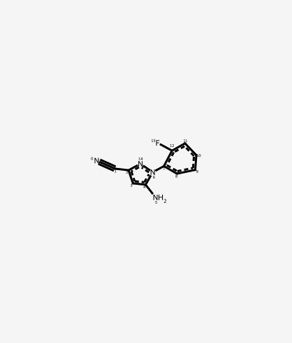 N#Cc1cc(N)n(-c2ccccc2F)n1